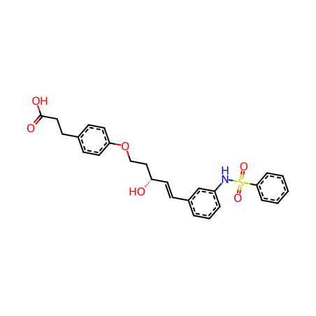 O=C(O)CCc1ccc(OCC[C@@H](O)/C=C/c2cccc(NS(=O)(=O)c3ccccc3)c2)cc1